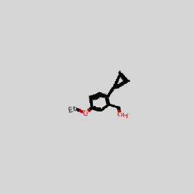 CCOc1ccc(C2CC2)c(CO)c1